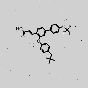 CC(C)(C)Cc1ccc(Oc2cc(-c3ccc(OC(F)(F)F)cc3)ccc2/C=C/C(=O)O)cc1